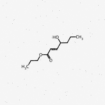 CCCOC(=O)C=CC(O)CCC